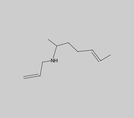 C=CCNC(C)CC/C=C/C